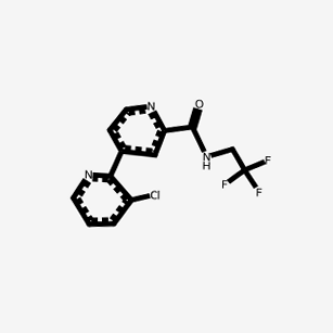 O=C(NCC(F)(F)F)c1cc(-c2ncccc2Cl)ccn1